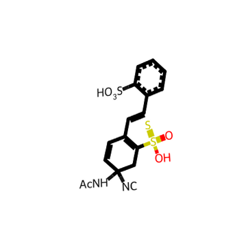 [C-]#[N+]C1(NC(C)=O)C=CC(C=Cc2ccccc2S(=O)(=O)O)=C(S(=O)(O)=S)C1